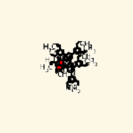 C/C=C\c1cc(/C=C\C)cc(C23CC4(c5cc(/C=C\C)cc(/C=C\C)c5)CC(c5cc(/C=C\C)cc(/C=C\C)c5)(C2)CC(C25CC6(c7cc(/C=C\C)cc(/C=C\C)c7)CC(c7cc(/C=C\C)cc(/C=C\C)c7)(CC(c7cc(/C=C\C)cc(/C=C\C)c7)(C6)C2)C5)(C3)C4)c1